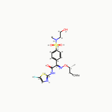 COC[C@@H](C)O/N=C(/C(=O)Nc1ncc(F)s1)c1ccc(S(=O)(=O)N(C)CCO)cc1